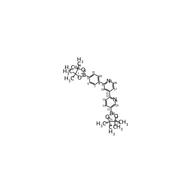 CC1(C)OB(c2ccc(-c3cc(-c4ccc(B5OC(C)(C)C(C)(C)O5)cn4)ccn3)cc2)OC1(C)C